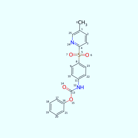 Cc1ccc(S(=O)(=O)c2ccc(NC(=O)Oc3ccccc3)cc2)nc1